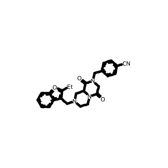 CCc1oc2ccccc2c1CN1CCN2C(=O)CN(Cc3ccc(C#N)cc3)C(=O)C2C1